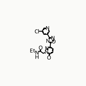 CCNC(=O)Cn1nc(-c2nc(-c3cncc(Cl)c3)no2)ccc1=O